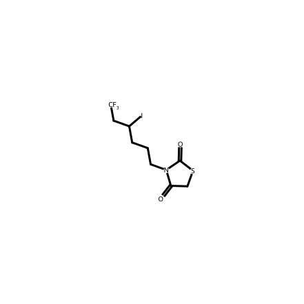 O=C1CSC(=O)N1CCCC(I)CC(F)(F)F